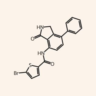 O=C(Nc1ccc(-c2ccccc2)c2c1C(=O)NC2)c1ccc(Br)s1